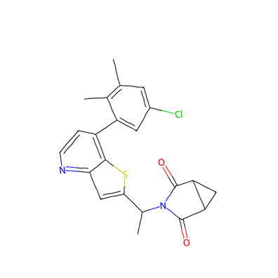 Cc1cc(Cl)cc(-c2ccnc3cc(C(C)N4C(=O)C5CC5C4=O)sc23)c1C